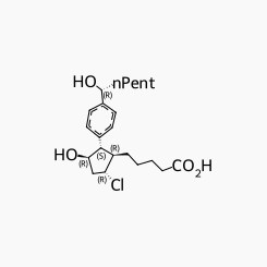 CCCCC[C@@H](O)c1ccc([C@@H]2[C@@H](CCCCC(=O)O)[C@H](Cl)C[C@H]2O)cc1